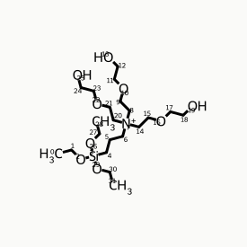 CCO[Si](CCC[N+](CCOCCO)(CCOCCO)CCOCCO)(OCC)OCC